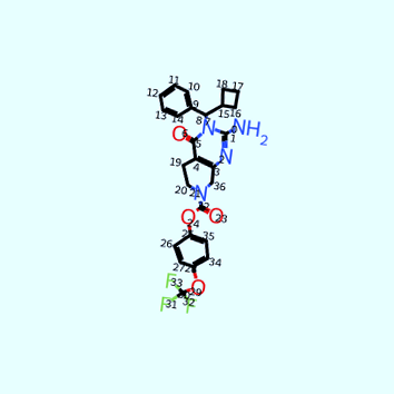 Nc1nc2c(c(=O)n1C(c1ccccc1)C1CCC1)CCN(C(=O)Oc1ccc(OC(F)(F)F)cc1)C2